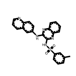 Cc1cccc(S(=O)(=O)Nc2nc3ccccc3nc2Nc2ccc3ncccc3c2)c1